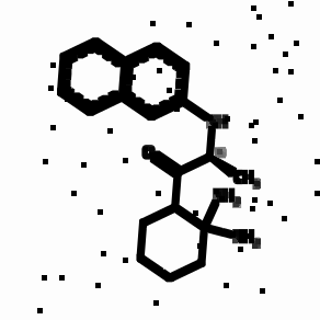 C[C@H](Nc1ccc2ccccc2c1)C(=O)C1CCCCC1(N)N